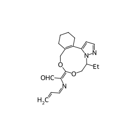 C=C/C=N\C(C=O)=C1\OCC2=C(CCCC2)c2ccnn2C(CC)CO1